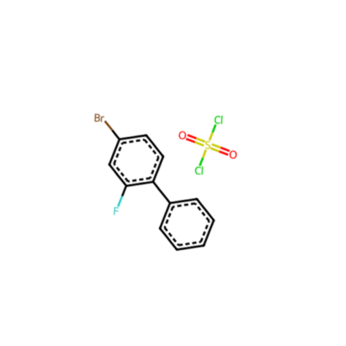 Fc1cc(Br)ccc1-c1ccccc1.O=S(=O)(Cl)Cl